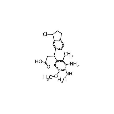 CNc1c(OC)cc(C(CC(=O)O)c2ccc3c(c2)C(Cl)CC3)c(C)c1N